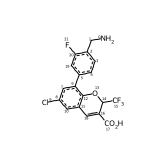 NCc1ccc(-c2cc(Cl)cc3c2OC(C(F)(F)F)C(C(=O)O)=C3)cc1F